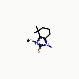 CC(C)n1c2c(n(C)c1=S)CCCC2(C)C